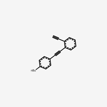 C#Cc1ccccc1C#Cc1ccc(CCCC)cc1